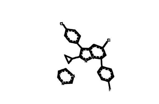 Fc1ccc(-c2cc(Cl)cc3c(-c4ccc(Cl)cc4)c(C4CC4)nn23)cc1.c1cncnc1